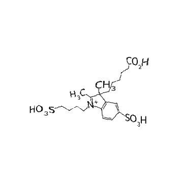 CC1=[N+](CCCCS(=O)(=O)O)c2ccc(S(=O)(=O)O)cc2C1(C)CCCCCC(=O)O